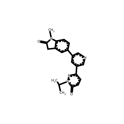 CC(C)n1nc(-c2cncc(-c3ccc4c(c3)CC(=O)N4C)c2)ccc1=O